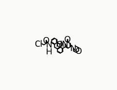 O=C(CCl)Nc1cccc2c1Cc1cccc(-c3cc(N4CCOCC4)cc(=O)[nH]3)c1O2